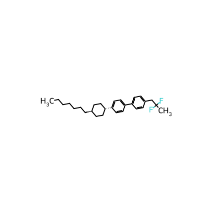 CCCCCCC[C@H]1CC[C@H](c2ccc(-c3ccc(CC(C)(F)F)cc3)cc2)CC1